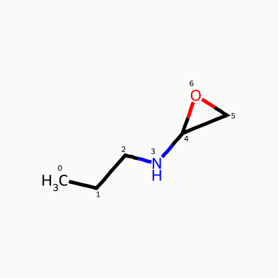 CCCNC1CO1